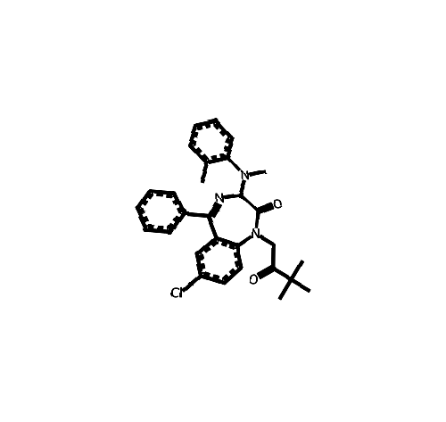 Cc1ccccc1N(C)C1N=C(c2ccccc2)c2cc(Cl)ccc2N(CC(=O)C(C)(C)C)C1=O